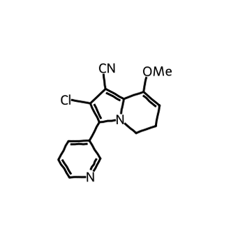 COC1=CCCn2c1c(C#N)c(Cl)c2-c1cccnc1